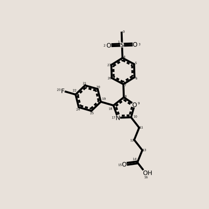 CS(=O)(=O)c1ccc(-c2oc(CCCC(=O)O)nc2-c2ccc(F)cc2)cc1